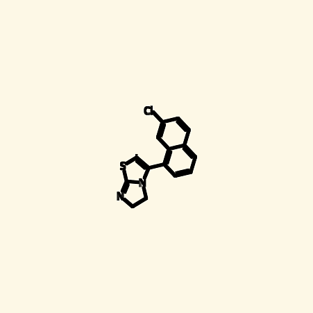 Clc1ccc2cccc(C3=[C]SC4=NCCN34)c2c1